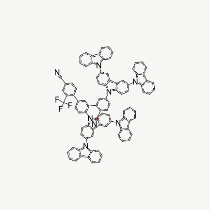 N#Cc1ccc(-c2ccc(-n3c4ccc(-n5c6ccccc6c6ccccc65)cc4c4cc(-n5c6ccccc6c6ccccc65)ccc43)c(-c3cc(-n4c5ccc(-n6c7ccccc7c7ccccc76)cc5c5cc(-n6c7ccccc7c7ccccc76)ccc54)ccc3C#N)c2)c(C(F)(F)F)c1